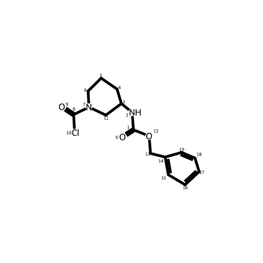 O=C(NC1CCCN(C(=O)Cl)C1)OCc1ccccc1